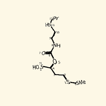 CSSCCC(OC(=O)NCCNC(C)C)S(=O)(=O)O